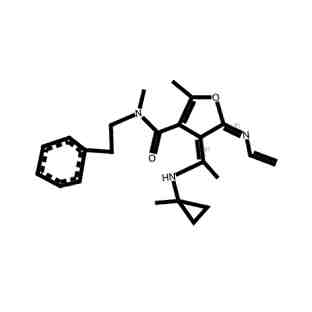 C=C/N=C1/OC(C)=C(C(=O)N(C)CCc2ccccc2)/C1=C(/C)NC1(C)CC1